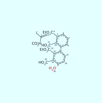 C=C(C)C(=O)O.CCOC(=O)c1ccccc1C(=O)O.CCOC(=O)c1ccccc1C(=O)O.O